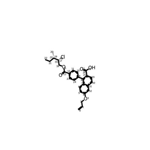 C=CCOc1ccc2c(-c3ccc(C(=O)OC[C@@H](Cl)[C@@H](C)CC)cc3)c(C(=O)O)ccc2c1